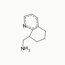 NCC1CCCc2cccnc21